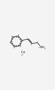 NCC=Cc1ccccc1.[Ca]